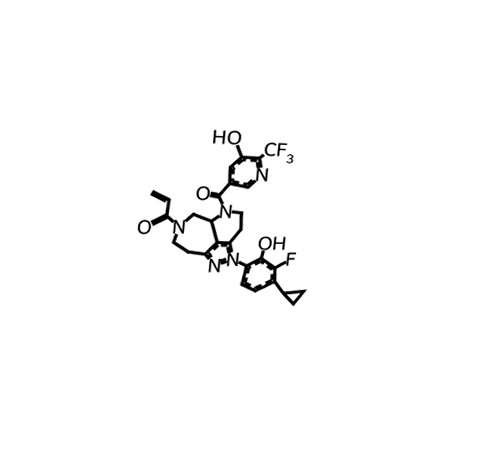 C=CC(=O)N1CCc2nn(-c3ccc(C4CC4)c(F)c3O)c3c2C(C1)N(C(=O)c1cnc(C(F)(F)F)c(O)c1)CC3